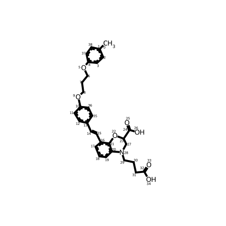 Cc1ccc(OCCCOc2ccc(/C=C/c3cccc4c3OC(C(=O)O)CN4CCCC(=O)O)cc2)cc1